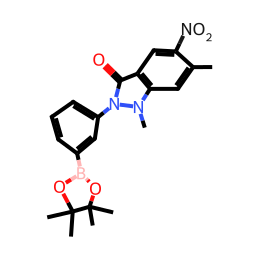 Cc1cc2c(cc1[N+](=O)[O-])c(=O)n(-c1cccc(B3OC(C)(C)C(C)(C)O3)c1)n2C